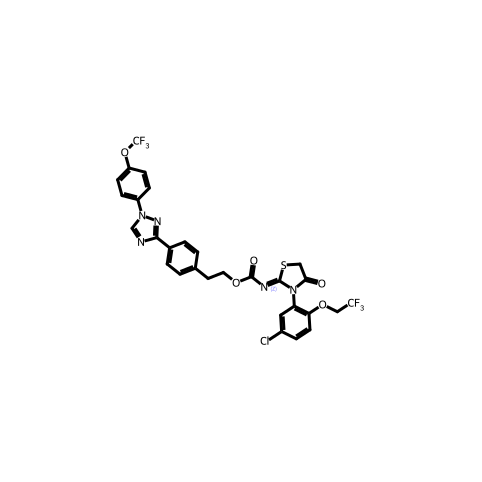 O=C(/N=C1\SCC(=O)N1c1cc(Cl)ccc1OCC(F)(F)F)OCCc1ccc(-c2ncn(-c3ccc(OC(F)(F)F)cc3)n2)cc1